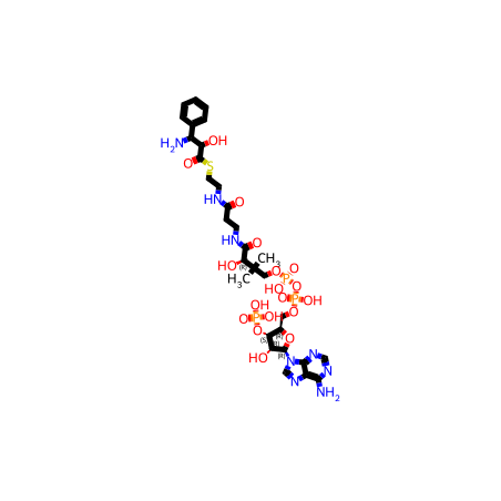 CC(C)(COP(=O)(O)OP(=O)(O)OC[C@H]1O[C@@H](n2cnc3c(N)ncnc32)[C@H](O)[C@@H]1OP(=O)(O)O)[C@@H](O)C(=O)NCCC(=O)NCCSC(=O)C(O)C(N)c1ccccc1